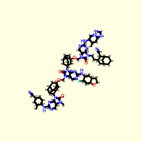 Cc1cc2ncnn2cc1Nc1ncc2c(n1)n(CCC1CC3CCCC(C3)C1C#N)c(=O)n2COC12CC3CC(n4c(=O)n(COC56CC7CC(C5)C(n5c(=O)n(C)c8cnc(Nc9ccc(C#N)cc9C)nc85)C(C7)C6)c5cnc(NC6=CC7CCOC7C=C6F)nc54)(CC3C1)C2